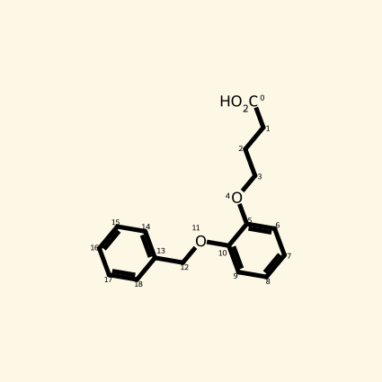 O=C(O)CCCOc1ccccc1OCc1ccccc1